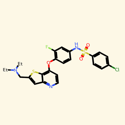 CCN(CC)Cc1cc2nccc(Oc3ccc(NS(=O)(=O)c4ccc(Cl)cc4)cc3F)c2s1